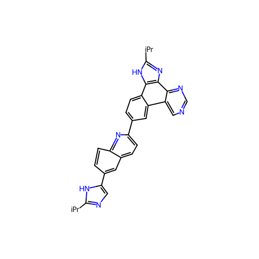 CC(C)c1ncc(-c2ccc3nc(-c4ccc5c(c4)c4cncnc4c4nc(C(C)C)[nH]c54)ccc3c2)[nH]1